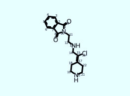 O=C1c2ccccc2C(=O)N1CCNCC(Cl)=C1CCNCC1